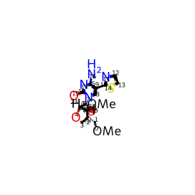 COC[C@@]12CO[C@@H]([C@H](n3cc(-c4nccs4)c(N)nc3=O)O1)[C@@H]2OC